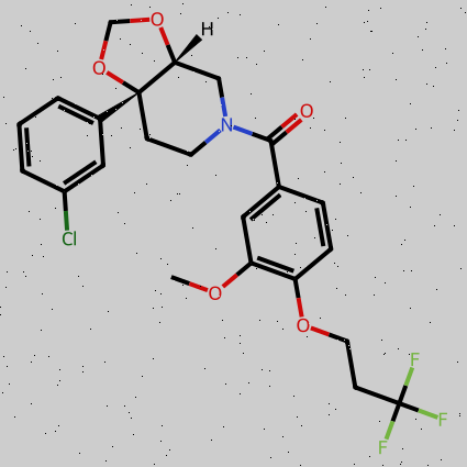 COc1cc(C(=O)N2CC[C@]3(c4cccc(Cl)c4)OCO[C@@H]3C2)ccc1OCCC(F)(F)F